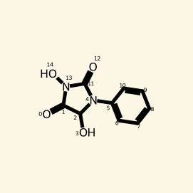 O=C1C(O)N(c2ccccc2)C(=O)N1O